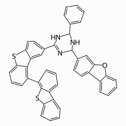 c1ccc(C2NC(c3ccc4sc5cccc(-c6cccc7c6sc6ccccc67)c5c4c3)=NC(c3ccc4c(c3)oc3ccccc34)N2)cc1